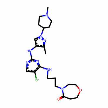 Cc1nn(C2CCN(C)CC2)cc1Nc1ncc(Br)c(NCCCN2CCOCCC2=O)n1